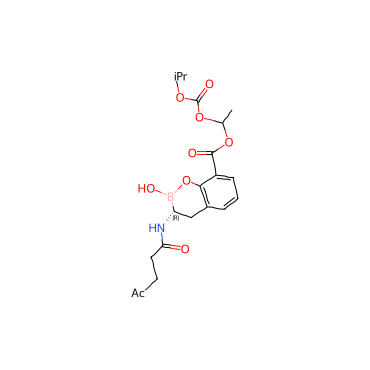 CC(=O)CCC(=O)N[C@H]1Cc2cccc(C(=O)OC(C)OC(=O)OC(C)C)c2OB1O